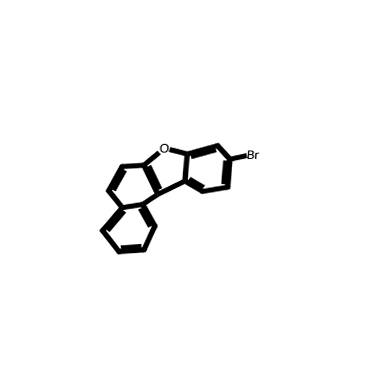 Brc1ccc2c(c1)oc1ccc3ccccc3c12